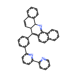 C1=CC2C(c3cccc(-c4cccc(-c5ccccn5)n4)c3)=c3ccc4ccccc4c3=NC2c2ccccc21